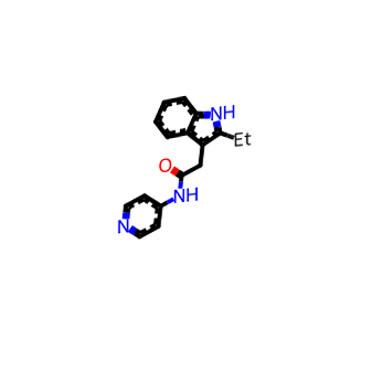 CCc1[nH]c2ccccc2c1CC(=O)Nc1ccncc1